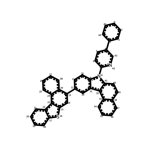 c1ccc(-c2ccc(-n3c4ccc(-c5cc6sc7ccccc7c6c6ccccc56)cc4c4c5ccccc5ccc43)nc2)cc1